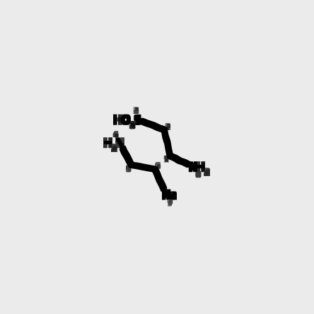 NCCS(=O)(=O)O.NC[CH2][Na]